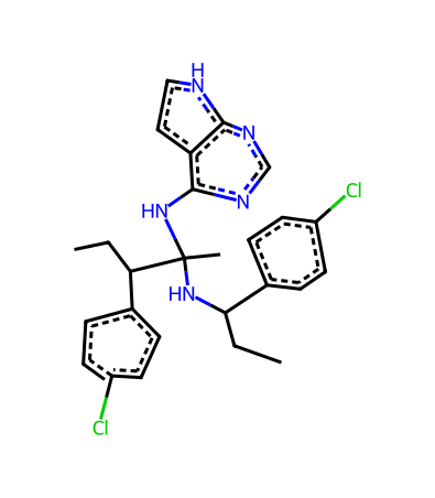 CCC(NC(C)(Nc1ncnc2[nH]ccc12)C(CC)c1ccc(Cl)cc1)c1ccc(Cl)cc1